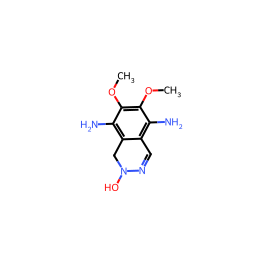 COc1c(N)c2c(c(N)c1OC)CN(O)N=C2